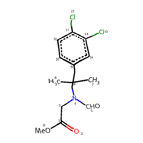 COC(=O)CN(C=O)C(C)(C)c1ccc(Cl)c(Cl)c1